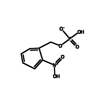 O=[N+](O)c1ccccc1COP(=O)([O-])O